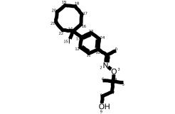 C/C(=N\OC(C)(C)CCO)c1ccc(C2(I)CCCCCCC2)cc1